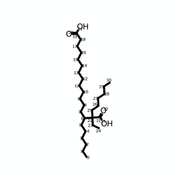 CCCCCCC(CCCCCCCCCCCCC(=O)O)C(CC)(CCCCCC)C(=O)O